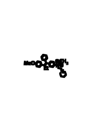 CCC(=C(c1ccccc1)c1ccc(N(CCN2CCCCC2)S(C)(=O)=O)cc1)c1ccc(OC)cc1